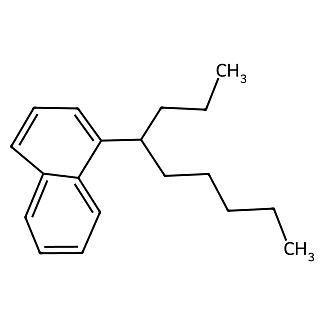 CCCCCC(CCC)c1cccc2ccccc12